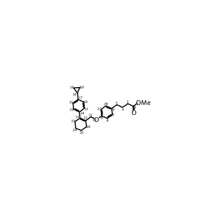 COC(=O)CCCc1ccc(OCC2=C(c3ccc(C4CC4)cc3)CCCC2)cc1